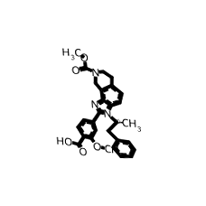 COC(=O)N1CCc2ccc3c(nc(-c4ccc(C(=O)O)c(OC)c4)n3[C@H](C)Cc3ccccc3)c2C1